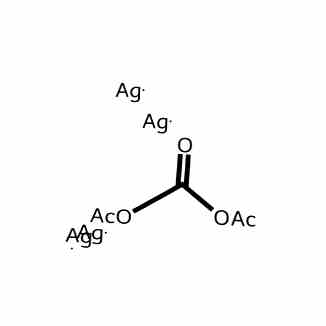 CC(=O)OC(=O)OC(C)=O.[Ag].[Ag].[Ag].[Ag]